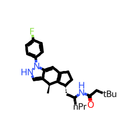 CCCC(C[C@H]1CCC2=C1[C@@H](C)C1=CNN(c3ccc(F)cc3)C1=C2)NC(=O)CC(C)(C)C